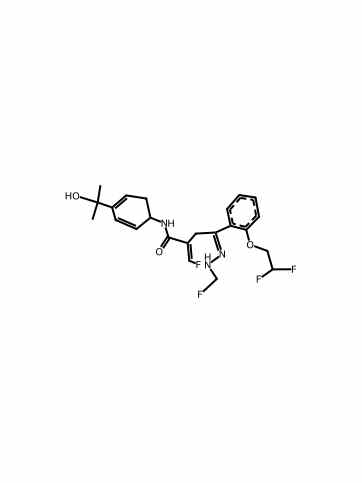 CC(C)(O)C1=CCC(NC(=O)/C(=C/F)C/C(=N\NCF)c2ccccc2OCC(F)F)C=C1